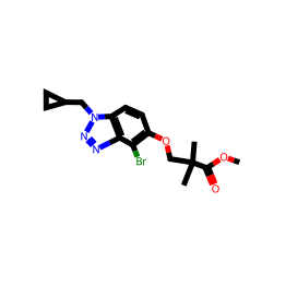 COC(=O)C(C)(C)COc1ccc2c(nnn2CC2CC2)c1Br